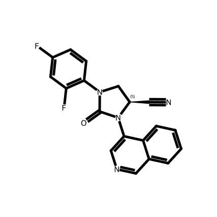 N#C[C@@H]1CN(c2ccc(F)cc2F)C(=O)N1c1cncc2ccccc12